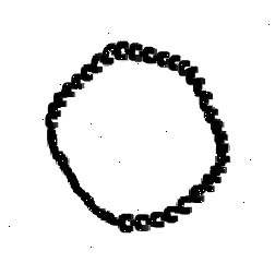 C1=C\C=C/CCCCCCCCCCCCCCCCCCCCCCCCCCCCCC/C=C\C=C\C=C/1